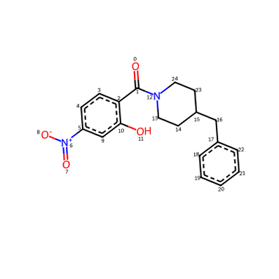 O=C(c1ccc([N+](=O)[O-])cc1O)N1CCC(Cc2ccccc2)CC1